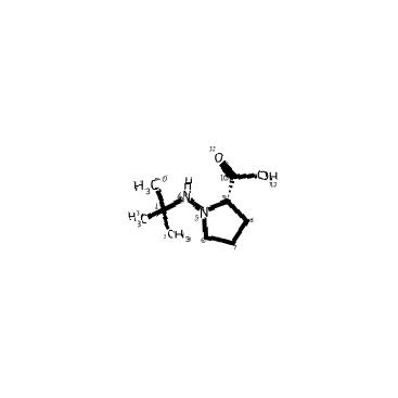 CC(C)(C)NN1CCC[C@H]1C(=O)O